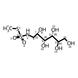 CSS(=O)(=O)NC[C@H](O)[C@@H](O)[C@H](O)[C@H](O)CO